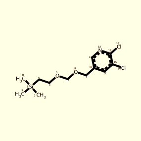 C[Si](C)(C)CCOCOCc1cnc(Cl)c(Cl)c1